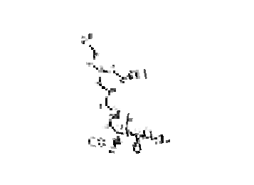 CC(C)CC[C@@H](CCO)CCCOC[C@H](NC(=O)OC(C)(C)C)C(=O)O